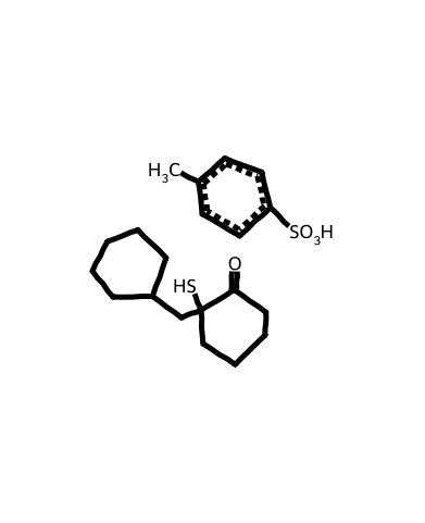 Cc1ccc(S(=O)(=O)O)cc1.O=C1CCCCC1(S)CC1CCCCC1